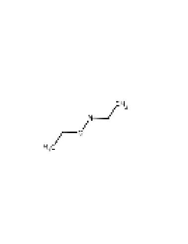 CC[N]OCC